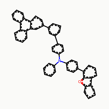 c1ccc(N(c2ccc(-c3cccc(-c4ccc5c6ccccc6c6ccccc6c5c4)c3)cc2)c2ccc(-c3cccc4c3oc3ccccc34)cc2)cc1